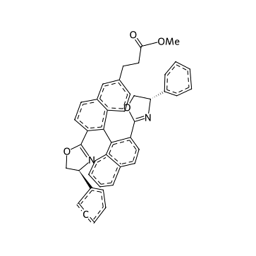 COC(=O)CCc1ccc2c(-c3c(C4=N[C@@H](c5ccccc5)CO4)ccc4ccccc34)c(C3=N[C@@H](c4ccccc4)CO3)ccc2c1